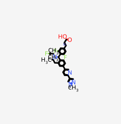 CC1Cc2cc(-c3ccc(-c4cnn(C)c4)nc3)ccc2C(c2c(F)cc(/C=C/C(=O)O)cc2F)N1CC(C)(C)F